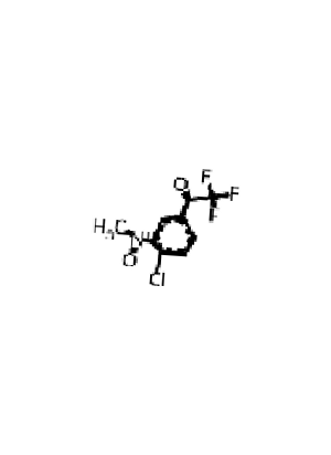 C[N+](=O)c1cc(C(=O)C(F)(F)F)ccc1Cl